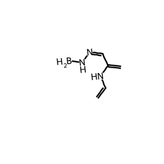 BN/N=C\C(=C)NC=C